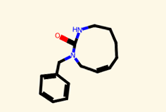 O=C1NCCCC/C=C\CN1Cc1ccccc1